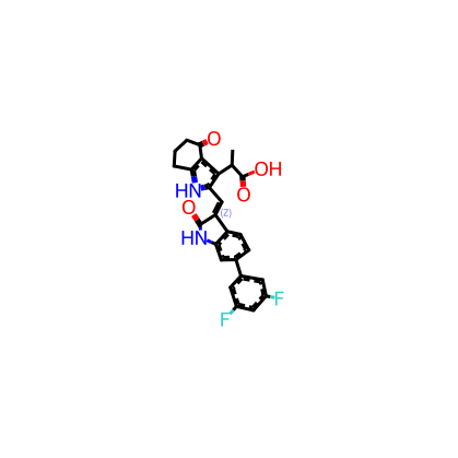 CC(C(=O)O)c1c(/C=C2\C(=O)Nc3cc(-c4cc(F)cc(F)c4)ccc32)[nH]c2c1C(=O)CCC2